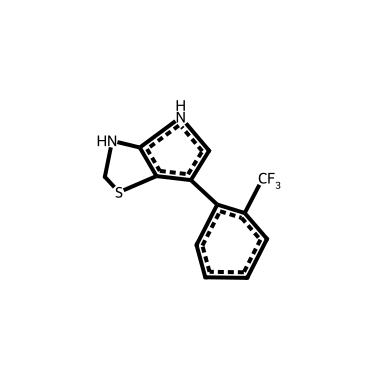 FC(F)(F)c1ccccc1-c1c[nH]c2c1SCN2